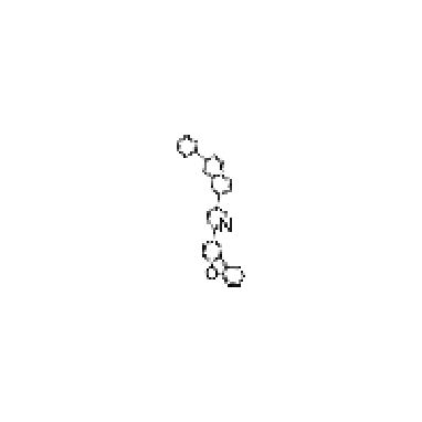 c1ccc(-c2ccc3ccc(-c4ccc(-c5ccc6oc7ccccc7c6c5)nc4)cc3c2)cc1